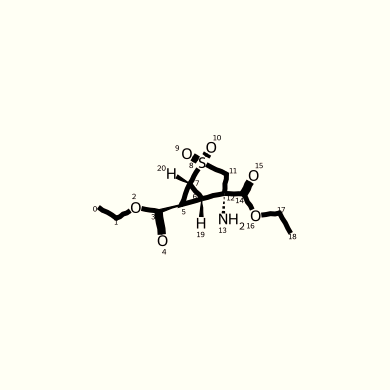 CCOC(=O)[C@@H]1[C@@H]2[C@H]1S(=O)(=O)C[C@@]2(N)C(=O)OCC